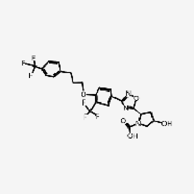 O=C(O)N1CC(O)C[C@@H]1c1nc(-c2ccc(OCCCc3ccc(C(F)(F)F)cc3)c(C(F)(F)F)c2)no1